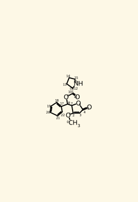 COC1=CC(=O)OC1C(OC(=O)[C@@H]1CCCN1)c1ccccc1